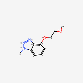 COCCOc1cccc2c1nnn2C